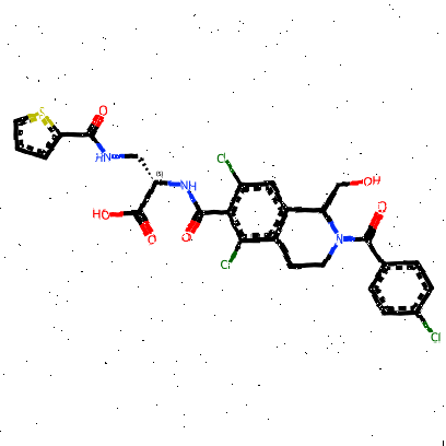 O=C(NC[C@H](NC(=O)c1c(Cl)cc2c(c1Cl)CCN(C(=O)c1ccc(Cl)cc1)C2CO)C(=O)O)c1cccs1